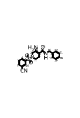 N#Cc1cccc(S(=O)(=O)N2CCC(C(=O)NCc3ccccc3)=C(N)C2)c1